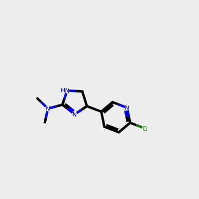 CN(C)C1=NC(c2ccc(Cl)nc2)CN1